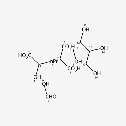 CCCC(O)C(=O)O.CO.O=C(O)CC(=O)O.O=CO.OCC(O)CO